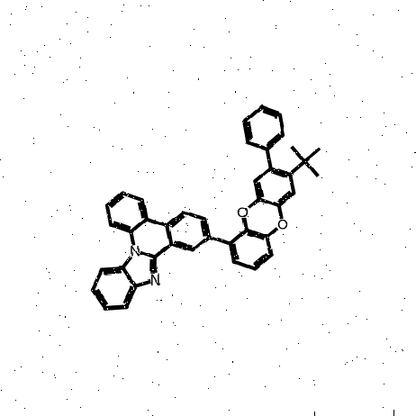 CC(C)(C)c1cc2c(cc1-c1ccccc1)Oc1c(cccc1-c1ccc3c4ccccc4n4c5ccccc5nc4c3c1)O2